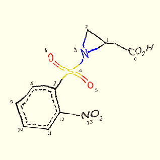 O=C(O)C1CN1S(=O)(=O)c1ccccc1[N+](=O)[O-]